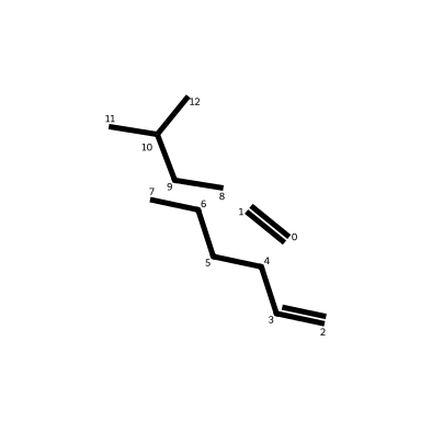 C=C.C=CCCCC.CCC(C)C